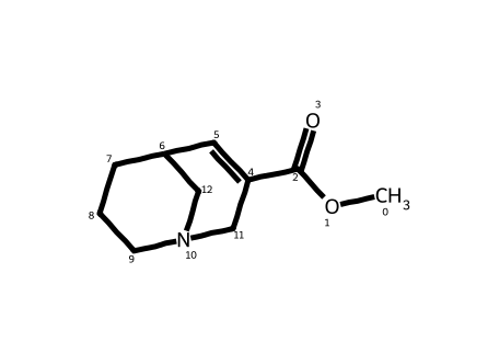 COC(=O)C1=CC2CCCN(C1)C2